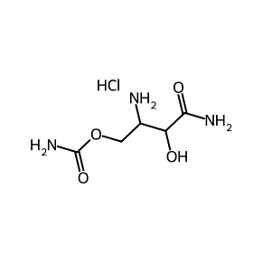 Cl.NC(=O)OCC(N)C(O)C(N)=O